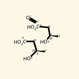 C=O.C[C@@H](O)CC(=O)O.C[C@@H](O)CC(=O)O